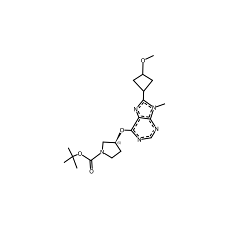 COC1CC(c2nc3c(O[C@H]4CCN(C(=O)OC(C)(C)C)C4)ncnc3n2C)C1